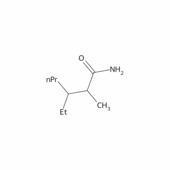 CCCC(CC)C(C)C(N)=O